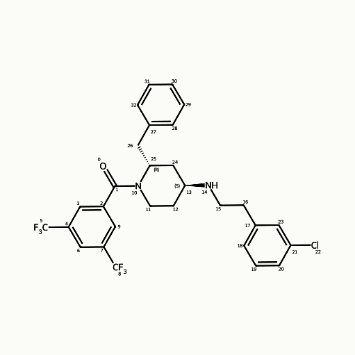 O=C(c1cc(C(F)(F)F)cc(C(F)(F)F)c1)N1CC[C@H](NCCc2cccc(Cl)c2)C[C@H]1Cc1ccccc1